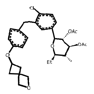 CC[C@H]1OC(c2ccc(Cl)c(Cc3ccc(OC4CC5(COC5)C4)cc3)c2)[C@H](OC(C)=O)[C@@H](OC(C)=O)[C@@H]1C